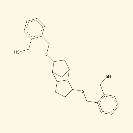 SCc1ccccc1CSC1CC2CC1C1CCC(SCc3ccccc3CS)C21